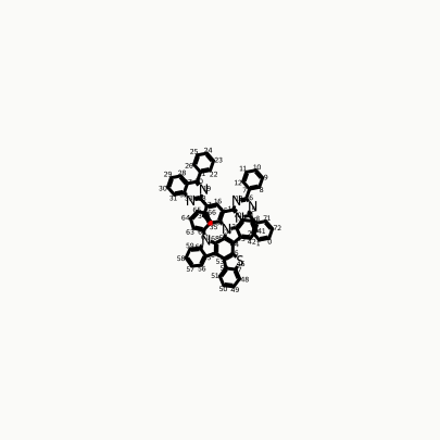 c1ccc(-c2nc(-c3ccccc3)nc(-c3cc(-c4nc(-c5ccccc5)c5ccccc5n4)ccc3-n3c4ccccc4c4c5sc6ccccc6c5c5c6ccccc6n(-c6ccccc6)c5c43)n2)cc1